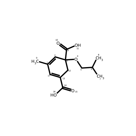 CC1=CC(OCC(C)C)(C(=O)O)CC(C(=O)O)=C1